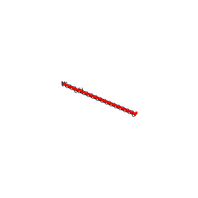 CCC(C)(C)C(=O)CCOCCOCCOCCOCCOCCOCCOCCOCCOCCOCCOCCOCCOCCOCCOCCOCCOCCOCCOCCOCCOCCOCCOCCOCCNC(=O)CCOCCOCCOCCOCCCN=[N+]=[N-]